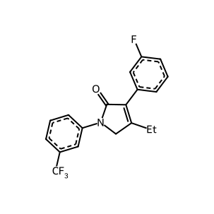 CCC1=C(c2cccc(F)c2)C(=O)N(c2cccc(C(F)(F)F)c2)C1